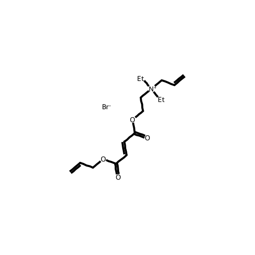 C=CCOC(=O)C=CC(=O)OCC[N+](CC)(CC)CC=C.[Br-]